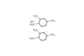 Cc1ccc(C(=O)[O-])c(C)c1.Cc1ccc(C(=O)[O-])c(C)c1.[Zn+2]